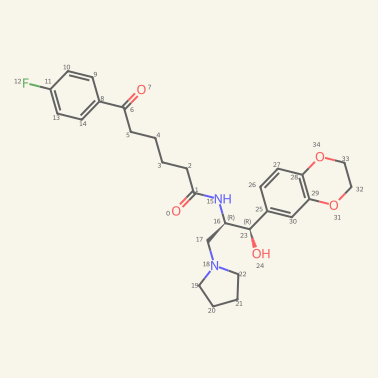 O=C(CCCCC(=O)c1ccc(F)cc1)N[C@H](CN1CCCC1)[C@H](O)c1ccc2c(c1)OCCO2